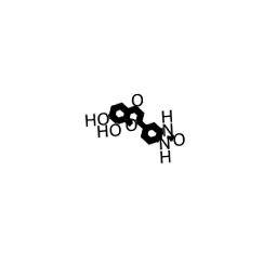 O=c1[nH]c2ccc(-c3cc(=O)c4ccc(O)c(O)c4o3)cc2[nH]1